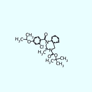 CC(C)Oc1ccc(C(=O)N2C[C@@H](C)N(C(=O)OC(C)(C)C)Cc3ccccc32)c(Cl)c1